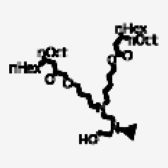 CCCCCCCCC(CCCCCC)CC(=O)COCCCCN(CCCCCOC(=O)CC(CCCCCC)CCCCCCCC)CCN(CCO)C1CC1